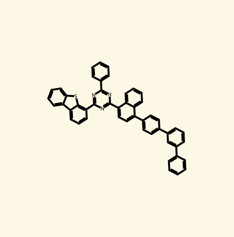 c1ccc(-c2cccc(-c3ccc(-c4ccc(-c5nc(-c6ccccc6)nc(-c6cccc7c6sc6ccccc67)n5)c5ccccc45)cc3)c2)cc1